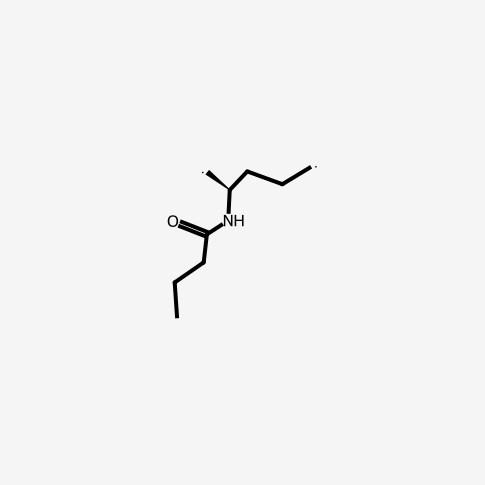 [CH2]CC[C@H]([CH2])NC(=O)CCC